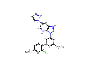 COc1ccc(-c2cc(NC(C)=O)cc(-n3cnc4cc(-n5cccn5)cnc43)c2)c(F)c1